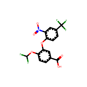 O=C(O)c1ccc(OC(F)F)c(Oc2ccc(C(F)(F)F)cc2[N+](=O)[O-])c1